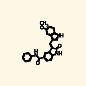 COc1ccc2[nH]cc(C=C3C(=O)Nc4ccc(C(=O)Nc5ccccc5)cc43)c2c1